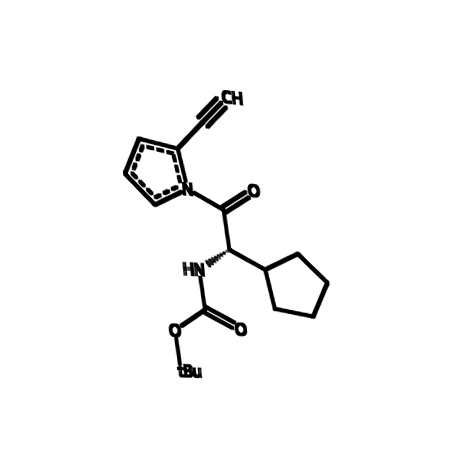 C#Cc1cccn1C(=O)[C@@H](NC(=O)OC(C)(C)C)C1CCCC1